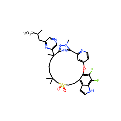 C[C@@H](Cc1cncc(C2(C)CCCC(C)(C)CS(=O)(=O)CCc3c(c(F)c(F)c4[nH]ccc34)Oc3ccnc(c3)-c3nc2nn3C)n1)C(=O)O